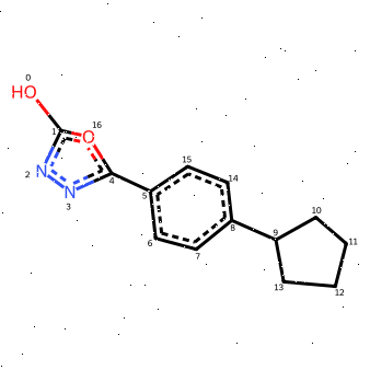 Oc1nnc(-c2ccc(C3CCCC3)cc2)o1